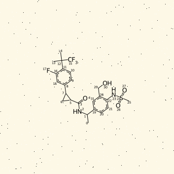 CC(NC(=O)C1CC1c1ccc(C(C)(C)C(F)(F)F)c(F)c1)c1ccc(NS(C)(=O)=O)c(CO)c1